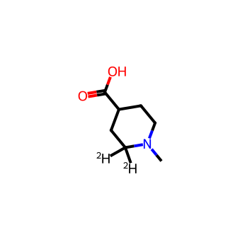 [2H]C1([2H])CC(C(=O)O)CCN1C